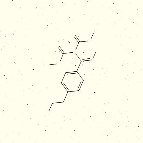 CC(C)(C)OC(=O)N(C(=O)OC(C)(C)C)C(=NO)c1ccc(CCN)cc1